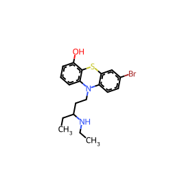 CCNC(CC)CCN1c2ccc(Br)cc2Sc2c(O)cccc21